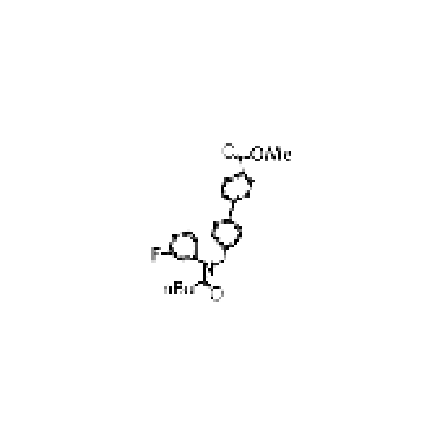 CCCCC(=O)N(Cc1ccc(-c2ccc(C(=O)OC)cc2)cc1)c1cccc(F)c1